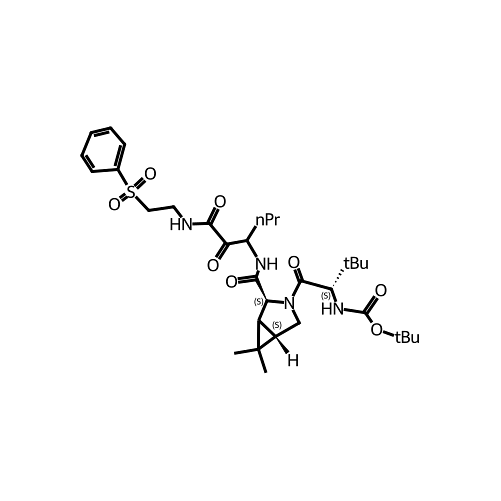 CCCC(NC(=O)[C@@H]1C2[C@H](CN1C(=O)[C@@H](NC(=O)OC(C)(C)C)C(C)(C)C)C2(C)C)C(=O)C(=O)NCCS(=O)(=O)c1ccccc1